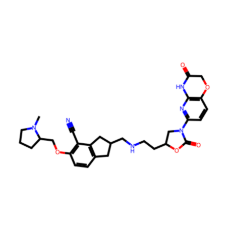 CN1CCCC1COc1ccc2c(c1C#N)CC(CNCCC1CN(c3ccc4c(n3)NC(=O)CO4)C(=O)O1)C2